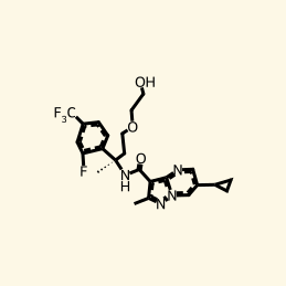 Cc1nn2cc(C3CC3)cnc2c1C(=O)N[C@](C)(CCOCCO)c1ccc(C(F)(F)F)cc1F